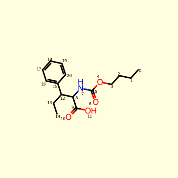 CCCCOC(=O)NC(C(=O)O)C(CC)c1ccccc1